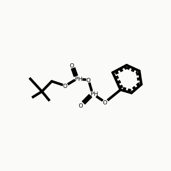 CC(C)(C)CO[PH](=O)O[PH](=O)Oc1ccccc1